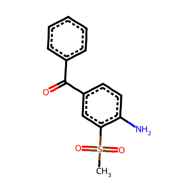 CS(=O)(=O)c1cc(C(=O)c2ccccc2)ccc1N